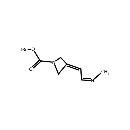 C/N=C\C=C1CN(C(=O)OC(C)(C)C)C1